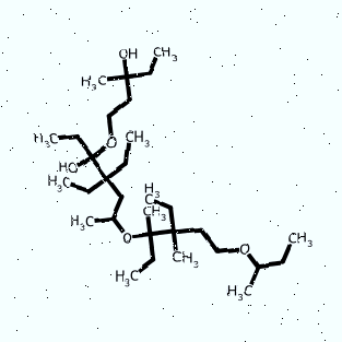 CCC(C)OCCC(C)(CC)C(C)(CC)OC(C)CC(CC)(CC)C(O)(CC)OCCC(C)(O)CC